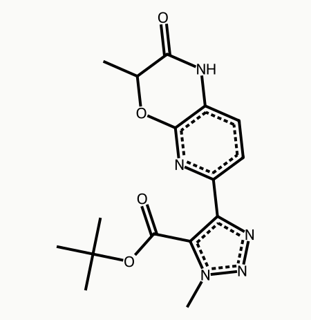 CC1Oc2nc(-c3nnn(C)c3C(=O)OC(C)(C)C)ccc2NC1=O